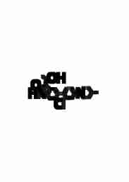 C/C(O)=C1\C(=O)Nc2cc(Cl)c(-c3ccc(N4CCC(C)CC4)cc3)cc21